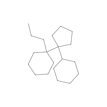 CCCC1(C2(C3CCCCC3)CCCC2)CCCCC1